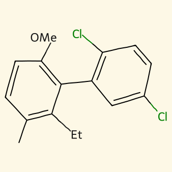 CCc1c(C)ccc(OC)c1-c1cc(Cl)ccc1Cl